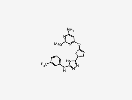 CSc1nc(N)cc(Oc2ccc(-c3nnc(Nc4cccc(C(F)(F)F)c4)[nH]3)s2)n1